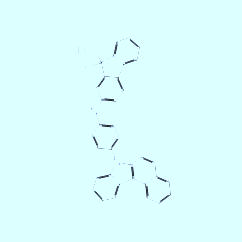 CC1(C)c2ccccc2-c2ccc(Nc3ccc(-n4c5ccccc5c5c6ccccc6ccc54)cc3)cc21